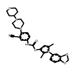 Cc1cc(OC(=O)Nc2ccc(N3CCN(C4CCOCC4)CC3)c(C#N)c2)c(C)n1-c1ccc2c(c1)OCO2